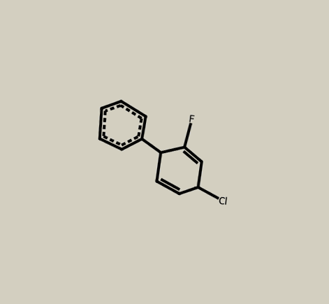 FC1=C[C](Cl)C=CC1c1ccccc1